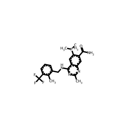 Cc1nc(NCc2cccc(C(F)(F)F)c2C)c2cc(P(C)C)c(C(N)=O)cc2n1